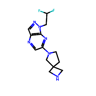 FC(F)Cn1ncc2ncc(N3CCC4(CNC4)C3)nc21